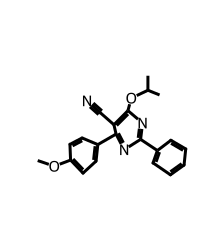 COc1ccc(-c2nc(-c3ccccc3)nc(OC(C)C)c2C#N)cc1